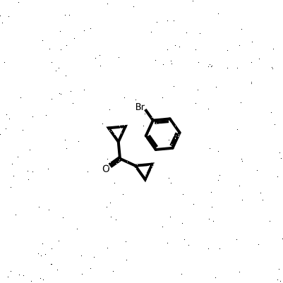 Brc1ccccc1.O=C(C1CC1)C1CC1